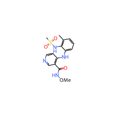 CONC(=O)c1cnccc1Nc1cccc(C)c1NS(C)(=O)=O